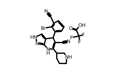 N#CC1=C(C2CCCNC2)Nc2n[nH]cc2C1c1cccc(C#N)c1Br.O=C(O)C(F)(F)F